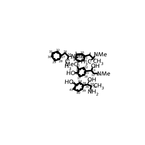 CNC(C)(C)Cc1ccccc1.CNCC(O)c1ccc(O)c(OC)c1.CN[C@@H](C)Cc1ccccc1.C[C@H](N)[C@H](O)c1cccc(O)c1